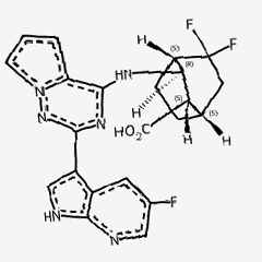 O=C(O)[C@H]1[C@H]2CC[C@@H]([C@@H]1Nc1nc(-c3c[nH]c4ncc(F)cc34)nn3cccc13)C(F)(F)C2